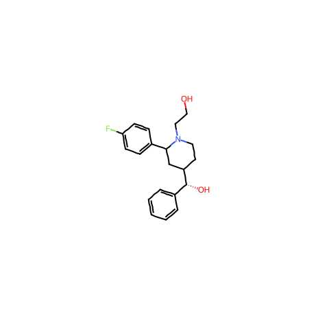 OCCN1CCC([C@H](O)c2ccccc2)CC1c1ccc(F)cc1